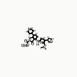 CN(C)Cc1nc(Nc2ccc(-c3ccncc3)c3c2C(=O)N(C(=O)OC(C)(C)C)C3)ccc1C1CCOC1